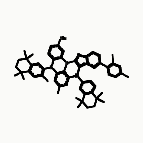 Cc1ccc(-c2ccc3sc4c(c3c2)N(c2ccc3c(c2)C(C)(C)CCC3(C)C)c2cc(C)cc3c2B4c2cc(C(C)(C)C)ccc2N3c2cc3c(cc2C)C(C)(C)CCC3(C)C)c(C)c1